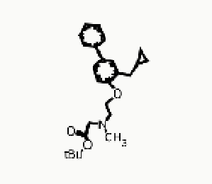 CN(CCOc1ccc(-c2ccccc2)cc1CC1CC1)CC(=O)OC(C)(C)C